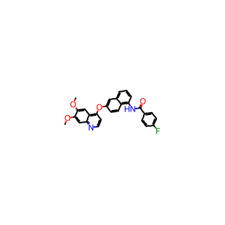 COc1cc2nccc(Oc3ccc4c(NC(=O)c5ccc(F)cc5)cccc4c3)c2cc1OC